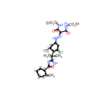 CCOC(=O)NC(=O)C(=NNc1cc(Cl)c(C(C)(C)c2noc(-c3ccccc3C)n2)c(Cl)c1)C(=O)NC(=O)OCC